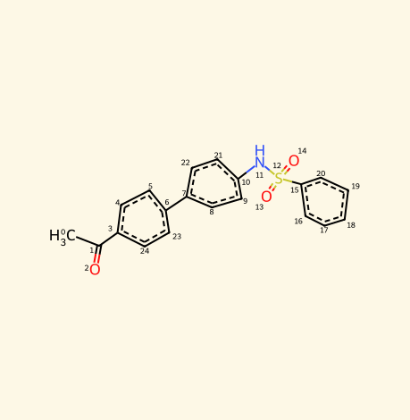 CC(=O)c1ccc(-c2ccc(NS(=O)(=O)c3ccccc3)cc2)cc1